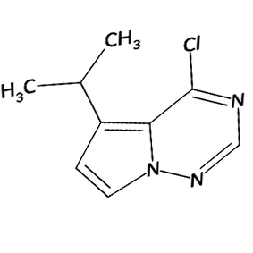 CC(C)c1ccn2ncnc(Cl)c12